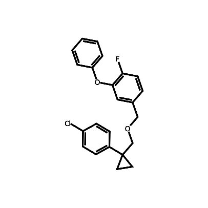 Fc1ccc(COCC2(c3ccc(Cl)cc3)CC2)cc1Oc1ccccc1